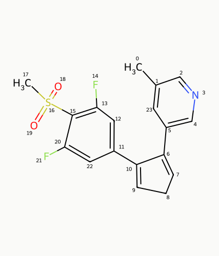 Cc1cncc(C2=CCC=C2c2cc(F)c(S(C)(=O)=O)c(F)c2)c1